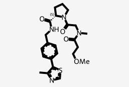 COCCC(=O)N(C)CC(=O)N1CCC[C@H]1C(=O)NCc1ccc(-c2scnc2C)cc1